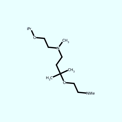 CNCCOC(C)(C)CCN(C)CCOC(C)C